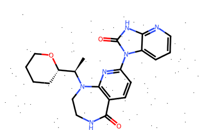 C[C@H]([C@@H]1CCCCO1)N1CCNC(=O)c2ccc(-n3c(=O)[nH]c4ncccc43)nc21